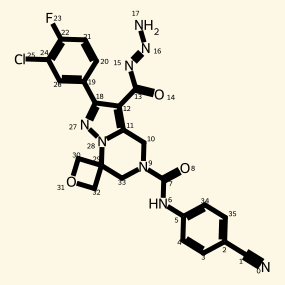 N#Cc1ccc(NC(=O)N2Cc3c(C(=O)N=NN)c(-c4ccc(F)c(Cl)c4)nn3C3(COC3)C2)cc1